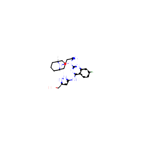 CN(c1nc(Nc2cc(CO)[nH]n2)c2ccc(Cl)cc2n1)[C@@H]1C[C@H]2CCC[C@@H](C1)N2CCC#N